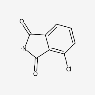 O=C1[N]C(=O)c2c(Cl)cccc21